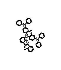 c1ccc(N(c2ccccc2)c2ccc3c(c2)Sc2cc(N(c4ccccc4)c4ccccc4)cc4c2B3c2cccc3c5sc6ccccc6c5n-4c23)cc1